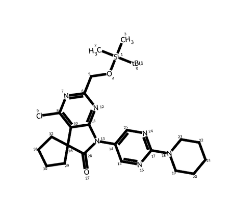 CC(C)(C)[Si](C)(C)OCc1nc(Cl)c2c(n1)N(c1cnc(N3CCCCC3)nc1)C(=O)C21CCCC1